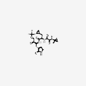 CC1(NC(=O)C(=O)NC(CC2CC2)C(=O)NC(C[C@@H]2CCNC2=O)C(=O)COC(F)(F)F)CC1